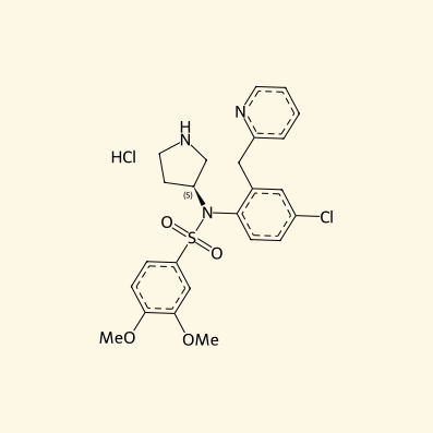 COc1ccc(S(=O)(=O)N(c2ccc(Cl)cc2Cc2ccccn2)[C@H]2CCNC2)cc1OC.Cl